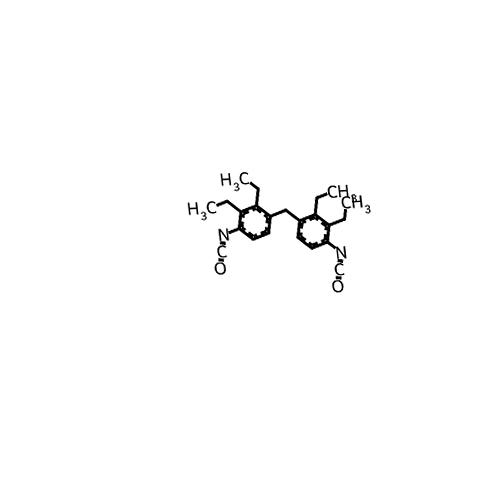 CCc1c(Cc2ccc(N=C=O)c(CC)c2CC)ccc(N=C=O)c1CC